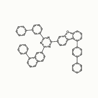 c1ccc(-c2ccc(-c3cccc4oc5cc(-c6nc(-c7cccc(-c8ccccc8)c7)nc(-c7ccc8cccc(-c9ccccc9)c8c7)n6)ccc5c34)cc2)cc1